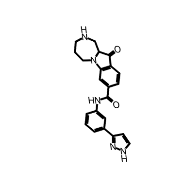 O=C(Nc1cccc(-c2cc[nH]n2)c1)c1ccc2c(c1)N1CCCNCC1C2=O